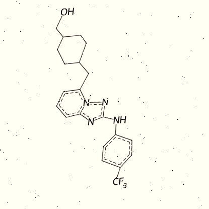 OCC1CCC(Cc2cccc3nc(Nc4ccc(C(F)(F)F)cc4)nn23)CC1